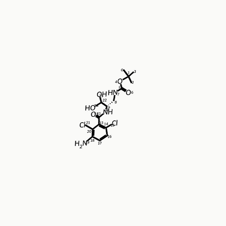 CC(C)(C)OC(=O)NC[C@H](NC(=O)c1c(Cl)ccc(N)c1Cl)C(O)O